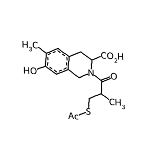 CC(=O)SCC(C)C(=O)N1Cc2cc(O)c(C)cc2CC1C(=O)O